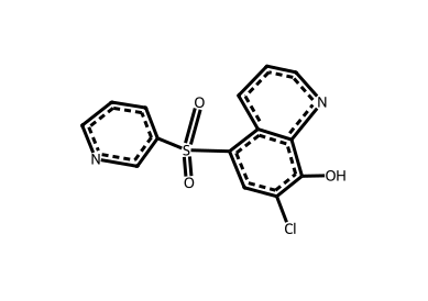 O=S(=O)(c1cccnc1)c1cc(Cl)c(O)c2ncccc12